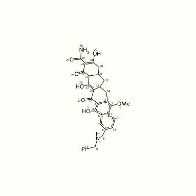 COc1c2c(c(O)c3cc(CNCC(C)C)ccc13)C(=O)C1=C(O)C3C(=O)C(C(N)=O)=C(O)CC3CC1C2